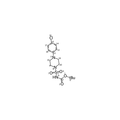 CC(C)(C)OC(=O)NS(=O)(=O)N1CCN(c2ccc(Cl)cc2)CC1